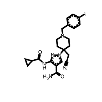 N#CCC1(n2cc(C(N)=O)c(NC(=O)C3CC3)n2)CCN(Cc2ccc(I)cc2)CC1